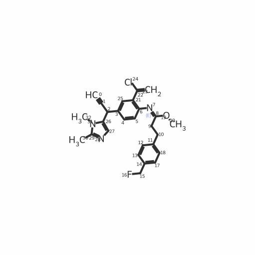 C#CC(c1ccc(/N=C(\CCc2ccc(CF)cc2)OC)c(C(=C)Cl)c1)c1cnc(C)n1C